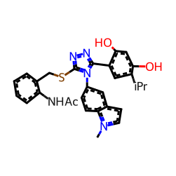 CC(=O)Nc1ccccc1CSc1nnc(-c2cc(C(C)C)c(O)cc2O)n1-c1ccc2c(ccn2C)c1